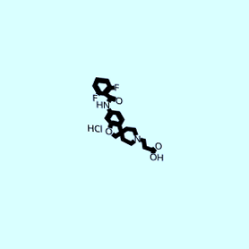 Cl.O=C(O)CCN1CCC2(CC1)COc1cc(NC(=O)c3c(F)cccc3F)ccc12